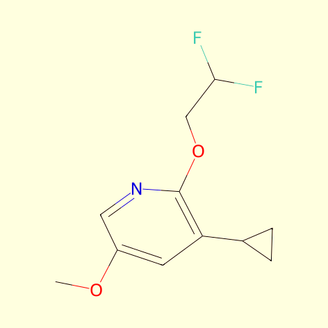 COc1cnc(OCC(F)F)c(C2CC2)c1